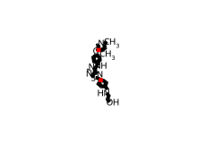 Cc1ccc(Oc2ccc(Nc3ncnc4sc(-c5ccc(CNCCO)cc5)nc34)cc2C)cn1